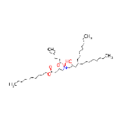 CCCCCCCCCCOC(=O)CCCN(CC(O)CC(CCCCCCCC)CCCCCCCC)OC(=O)CCCCC